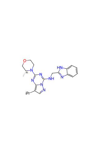 CC(C)c1cnn2c(NCc3nc4ccccc4[nH]3)nc(N3CCOC[C@H]3C)nc12